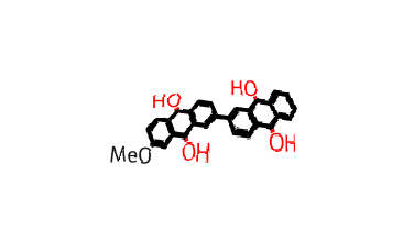 COc1ccc2c(c1)C(O)c1cc(-c3ccc4c(c3)C(O)c3ccccc3C4O)ccc1C2O